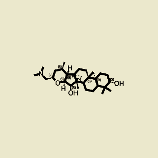 C[C@@H]1C[C@H](CN(C)C)O[C@H]2[C@H]1[C@@]1(C)CC[C@@]34C[C@@]35CC[C@H](O)C(C)(C)C5CCC4[C@]1(C)[C@H]2O